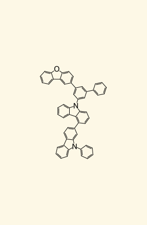 c1ccc(-c2cc(-c3ccc4oc5ccccc5c4c3)cc(-n3c4ccccc4c4c(-c5ccc6c7ccccc7n(-c7ccccc7)c6c5)cccc43)c2)cc1